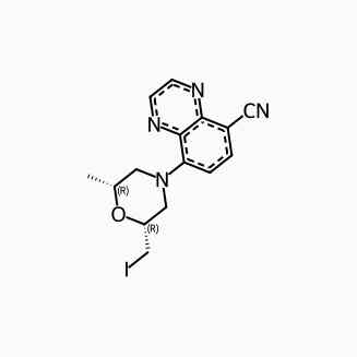 C[C@@H]1CN(c2ccc(C#N)c3nccnc23)C[C@H](CI)O1